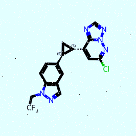 FC(F)(F)Cn1ncc2cc([C@H]3C[C@@H]3c3cc(Cl)nn4ncnc34)ccc21